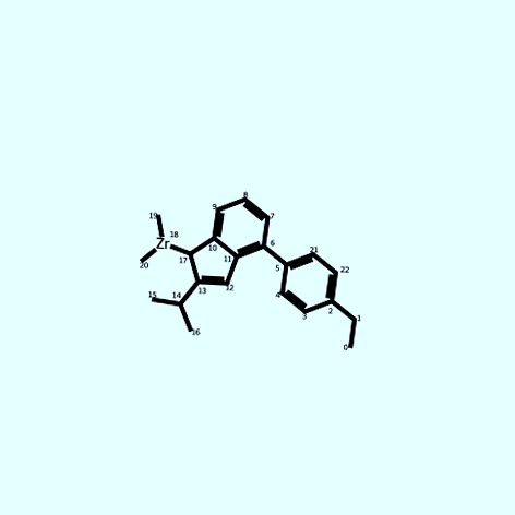 CCc1ccc(-c2cccc3c2C=C(C(C)C)[CH]3[Zr]([CH3])[CH3])cc1